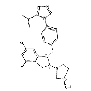 Cc1nnc(C(C)C)n1-c1ccc(O[C@H]2c3cc(Cl)cc(F)c3C[C@@H]2N2CC[C@@H](O)C2)cc1